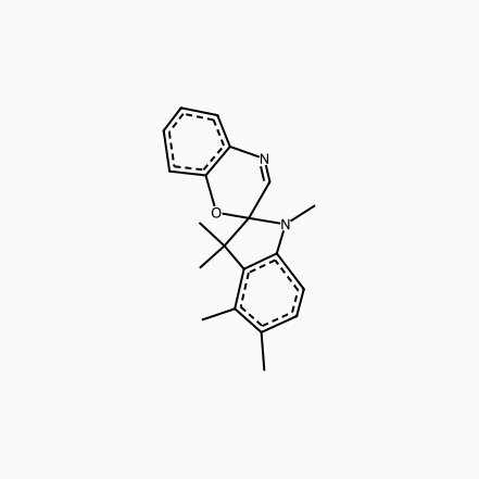 Cc1ccc2c(c1C)C(C)(C)C1(C=Nc3ccccc3O1)N2C